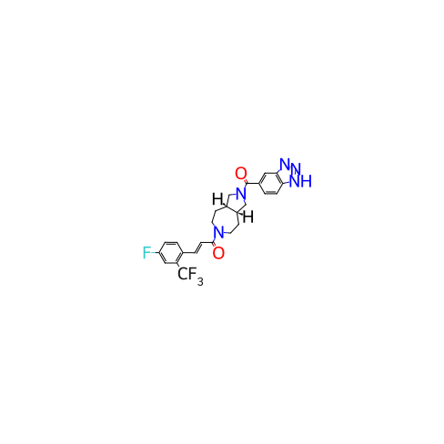 O=C(C=Cc1ccc(F)cc1C(F)(F)F)N1CC[C@@H]2CN(C(=O)c3ccc4[nH]nnc4c3)C[C@@H]2CC1